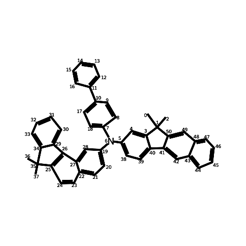 CC1(C)c2cc(N(c3ccc(-c4ccccc4)cc3)c3ccc4ccc5c(c4c3)-c3ccccc3C5(C)C)ccc2-c2cc3ccccc3cc21